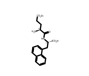 CCOC(=O)CC[C@H](N)C(=O)N[C@@H](Cc1cccc2ccccc12)C(=O)O